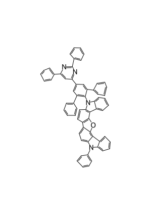 c1ccc(-c2cc(-c3cc(-c4ccccc4)c(-n4c5ccccc5c5c6oc7c(ccc8c7c7ccccc7n8-c7ccccc7)c6ccc54)c(-c4ccccc4)c3)nc(-c3ccccc3)n2)cc1